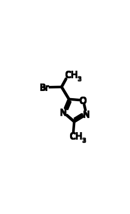 Cc1noc(C(C)Br)n1